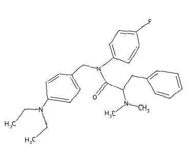 CCN(CC)c1ccc(CN(C(=O)C(Cc2ccccc2)N(C)C)c2ccc(F)cc2)cc1